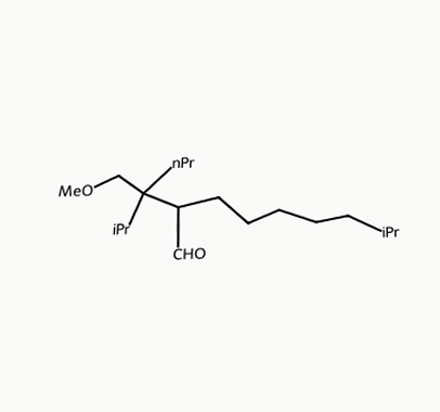 CCCC(COC)(C(C)C)C(C=O)CCCCCC(C)C